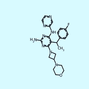 CC(c1ccc(F)cc1)c1c(Nc2cnccn2)nc(N)nc1N1CC(N2CCOCC2)C1